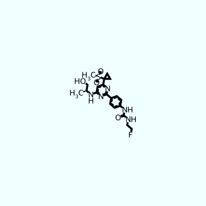 C[C@@H](CO)Nc1cc(C2(S(C)(=O)=O)CC2)nc(-c2ccc(NC(=O)NCCF)cc2)n1